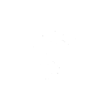 O=C(O)c1cc(N2C(=O)C=CC2=O)cc(N2C(=O)C=C(Br)C2=O)c1